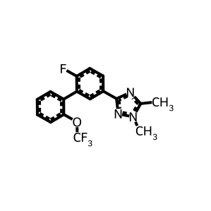 Cc1nc(-c2ccc(F)c(-c3ccccc3OC(F)(F)F)c2)nn1C